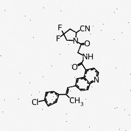 C/C(=C\c1ccc2nccc(C(=O)NCC(=O)N3CC(F)(F)CC3C#N)c2c1)c1ccc(Cl)cc1